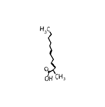 CCCCCC=CCC=CC(C)C(=O)O